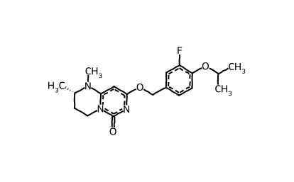 CC(C)Oc1ccc(COc2cc3n(c(=O)n2)CC[C@H](C)N3C)cc1F